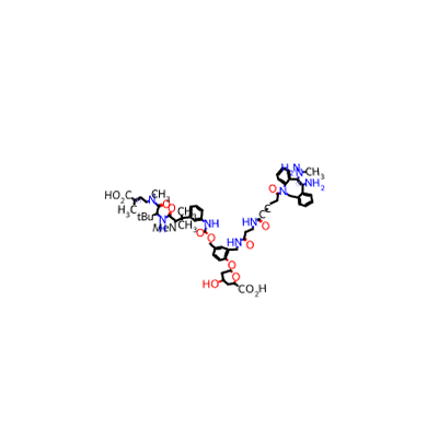 CNC(C(=O)NC(C(=O)N(C)C/C=C(\C)C(=O)O)C(C)(C)C)C(C)(C)c1cccc(NC(=O)OCc2ccc(OC3CC(O)CC(C(=O)O)O3)c(CNC(=O)CCNC(=O)CCCCC(=O)N3Cc4ccccc4/C(N)=C(/N(C)N)c4ccccc43)c2)c1